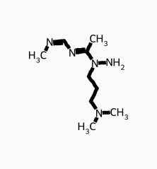 C/N=C\N=C(/C)N(N)CCCN(C)C